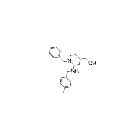 Cc1ccc(CNC2CC(CO)CCN2Cc2ccccc2)cc1